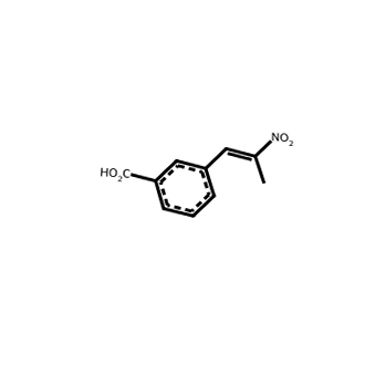 C/C(=C\c1cccc(C(=O)O)c1)[N+](=O)[O-]